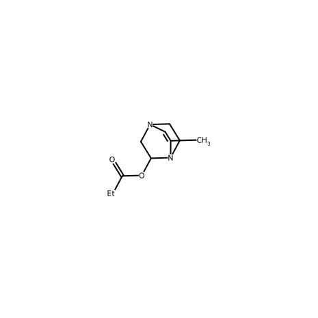 CCC(=O)OC1CN2C=C(C)N1CC2